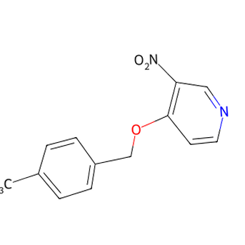 O=[N+]([O-])c1cnccc1OCc1ccc(C(F)(F)F)cc1